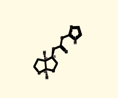 O=C(Oc1ncc[nH]1)O[C@H]1CO[C@H]2OCC[C@H]21